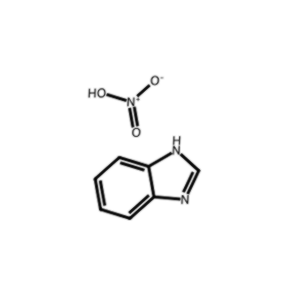 O=[N+]([O-])O.c1ccc2[nH]cnc2c1